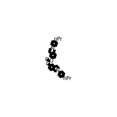 CCCc1ccc(N2CCc3cc(OC(=O)Oc4ccc5c(c4)CCN(c4ccc(CCC)cc4)C5)ccc3C2)cc1